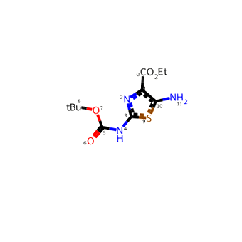 CCOC(=O)c1nc(NC(=O)OC(C)(C)C)sc1N